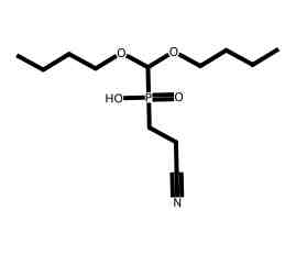 CCCCOC(OCCCC)P(=O)(O)CCC#N